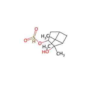 CC1(C)C2CC(O[SH](=O)=O)C(C)(O)C1C2